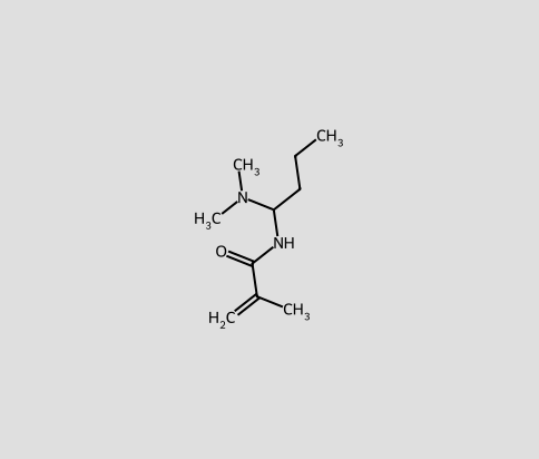 C=C(C)C(=O)NC(CCC)N(C)C